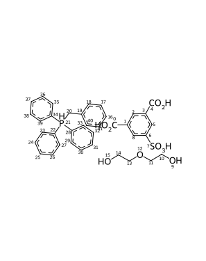 O=C(O)c1cc(C(=O)O)cc(S(=O)(=O)O)c1.OCCOCCO.c1ccc(C[PH](c2ccccc2)(c2ccccc2)c2ccccc2)cc1